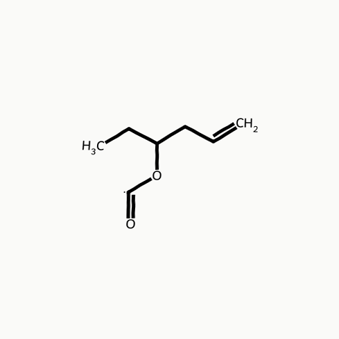 C=CCC(CC)O[C]=O